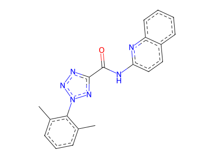 Cc1cccc(C)c1-n1nnc(C(=O)Nc2ccc3ccccc3n2)n1